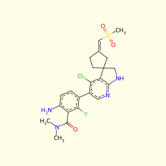 CN(C)C(=O)c1c(N)ccc(-c2cnc3c(c2Cl)C2(CCC(=CS(C)(=O)=O)C2)CN3)c1F